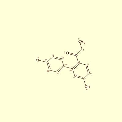 CCC(=O)c1ccc(O)cc1-c1ccc(Cl)cc1